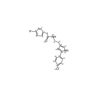 O=C(Cc1ccc(F)cc1)NCCc1c[nH]c(-c2ccc(Cl)cc2)n1